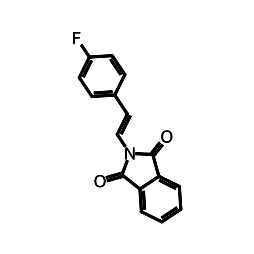 O=C1c2ccccc2C(=O)N1C=Cc1ccc(F)cc1